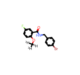 [2H]C([2H])([2H])Oc1ccc(F)cc1C(=O)NCc1ccc(Br)cc1